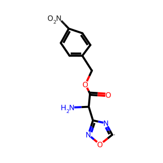 NC(C(=O)OCc1ccc([N+](=O)[O-])cc1)c1n[c]on1